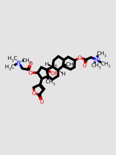 CC12CCC(OC(=O)C[N+](C)(C)C)CC1CC[C@@H]1[C@@H]2CCC2(C)C(C3=CC(=O)OC3)C(OC(=O)C[N+](C)(C)C)CC12O